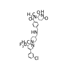 CN(C(=O)c1ccc(CNCC2CCN(C3(C)N=CC(c4cccc(Cl)c4)=CC3C(F)(F)F)CC2)cc1)C1CCC(=O)NC1=O